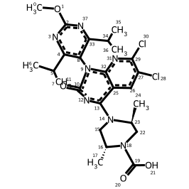 COc1nc(C(C)C)c(-n2c(=O)nc(N3C[C@@H](C)N(C(=O)O)C[C@@H]3C)c3cc(Cl)c(Cl)nc32)c(C(C)C)n1